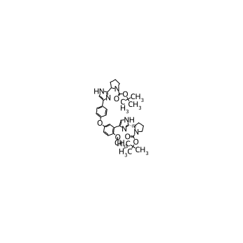 COc1ccc(Oc2ccc(-c3c[nH]c(C4CCCN4C(=O)OC(C)(C)C)n3)cc2)cc1-c1c[nH]c([C@@H]2CCCN2C(=O)OC(C)(C)C)n1